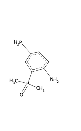 CP(C)(=O)c1cc(P)ccc1N